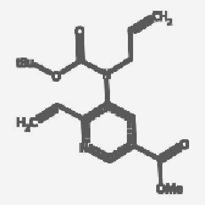 C=CCN(C(=O)OC(C)(C)C)c1cc(C(=O)OC)cnc1C=C